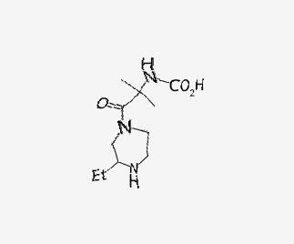 CCC1CN(C(=O)C(C)(C)NC(=O)O)CCN1